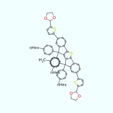 CCCCCCc1ccc(C2(c3ccc(C)cc3)c3cc(-c4ccc(C5OCCO5)s4)ccc3-c3sc4c(c32)C(c2ccc(CCCCCC)cc2)(c2ccc(CCCCCC)cc2)c2cc(-c3ccc(C5OCCO5)s3)ccc2-4)cc1